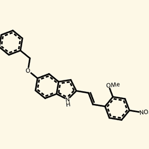 COc1cc([N+](=O)[O-])ccc1/C=C/c1cc2cc(OCc3ccccc3)ccc2[nH]1